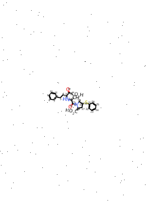 C[C@H](N[C@@H](CCc1ccccc1)C(=O)C(=O)O)C(=O)N1C[C@@H](Sc2ccccc2)C[C@H]1C(=O)O